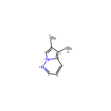 CC(C)(C)c1cn2ncccc2c1C(C)(C)C